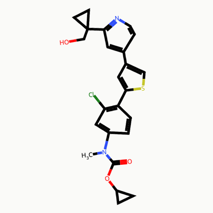 CN(C(=O)OC1CC1)c1ccc(-c2cc(-c3ccnc(C4(CO)CC4)c3)cs2)c(Cl)c1